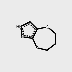 c1[nH]nc2c1SCCCS2